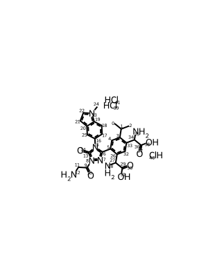 CC(C)c1cc(-c2nn(C(=O)CN)c(=O)n2-c2ccc3c(ccn3C)c2)c(C(N)C(=O)O)cc1C(N)C(=O)O.Cl.Cl.Cl